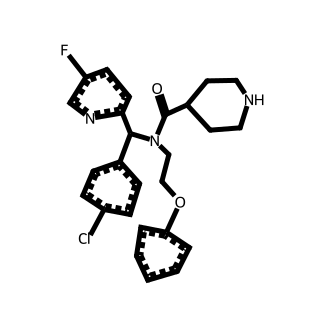 O=C(C1CCNCC1)N(CCOc1ccccc1)C(c1ccc(Cl)cc1)c1ccc(F)cn1